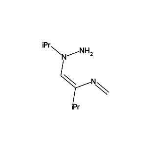 C=N/C(=C\N(N)C(C)C)C(C)C